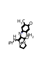 CC1=C/C(=N/c2c(NC(C)C)n3n(c2=O)CCC3)C(N)=CC1=O